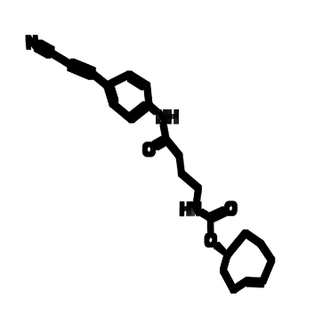 N#CC#Cc1ccc(NC(=O)CCCNC(=O)O[C@@H]2CC/C=C/CCC2)cc1